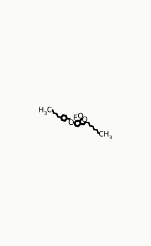 CCCCCCCc1cc2ccc(OCc3ccc(CCCCC)cc3)c(F)c2c(=O)o1